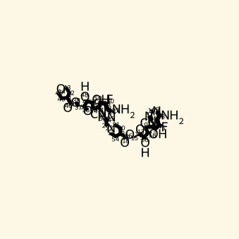 N#C[C@@]1(c2cc(F)c3c(N)ncnn23)O[C@H](COC(=O)C2CCN(Cc3nc(N)c4c(F)cc([C@]5(C#N)O[C@H](COC(=O)C6CCOCC6)[C@@H](O)[C@H]5O)n4n3)CC2)[C@@H](O)[C@H]1O